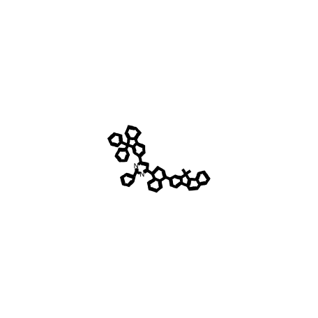 CC1(C)c2cc(-c3ccc(-c4cc(-c5ccc6c(c5)C(c5ccccc5)(c5ccccc5)c5ccccc5-6)nc(-c5ccccc5)n4)c4ccccc34)ccc2-c2ccc3ccccc3c21